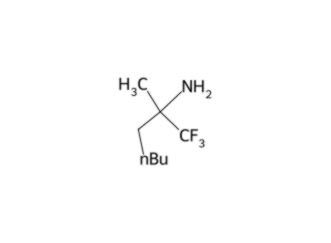 CCCCCC(C)(N)C(F)(F)F